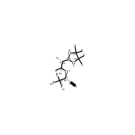 C#C[C@@H](OC(C)[C@H](C)B1OC(C)(C)C(C)(C)O1)C(F)(F)F